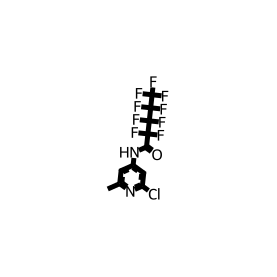 Cc1cc(NC(=O)C(F)(F)C(F)(F)C(F)(F)C(F)(F)F)cc(Cl)n1